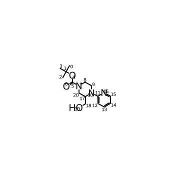 CC(C)(C)OC(=O)N1CCN(c2ccccn2)C(CO)C1